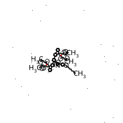 CCCCCCCCOc1ccc(-c2nnc(-c3cc(-c4ccc5c(c4)C(CCC(=O)CCC(C)=O)(CCC(=O)CCC(C)=O)c4ccccc4-5)ccc3-c3ccc4c(c3)C(CCC(=O)CCC(C)=O)(CCC(=O)CCC(C)=O)c3ccccc3-4)o2)cc1